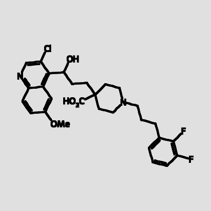 COc1ccc2ncc(Cl)c(C(O)CCC3(C(=O)O)CCN(CCCc4cccc(F)c4F)CC3)c2c1